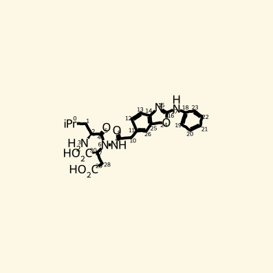 CC(C)C[C@H](N)C(=O)N(NC(=O)Cc1ccc2nc(Nc3ccccc3)oc2c1)[C@@H](CC(=O)O)C(=O)O